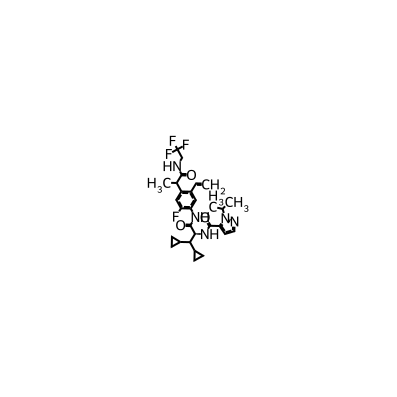 C=Cc1cc(NC(=O)[C@@H](NC(=O)c2ccnn2C(C)C)C(C2CC2)C2CC2)c(F)cc1C(C)C(=O)NCC(F)(F)F